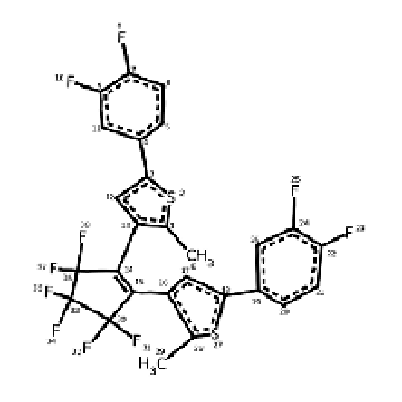 Cc1sc(-c2ccc(F)c(F)c2)cc1C1=C(c2cc(-c3ccc(F)c(F)c3)sc2C)C(F)(F)C(F)(F)C1(F)F